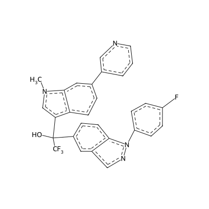 Cn1cc(C(O)(c2ccc3c(cnn3-c3ccc(F)cc3)c2)C(F)(F)F)c2ccc(-c3cccnc3)cc21